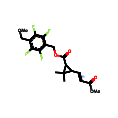 COCc1c(F)c(F)c(COC(=O)C2C(/C=C/C(=O)OC)C2(C)C)c(F)c1F